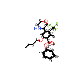 CCCCOc1cc(C2COCCN2)c(C(F)(F)F)c(C)c1C(=O)Oc1ccccc1